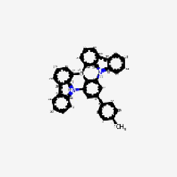 Cc1ccc(-c2cc3c4c(c2)-n2c5ccccc5c5cccc(c52)B4c2cccc4c5ccccc5n-3c24)cc1